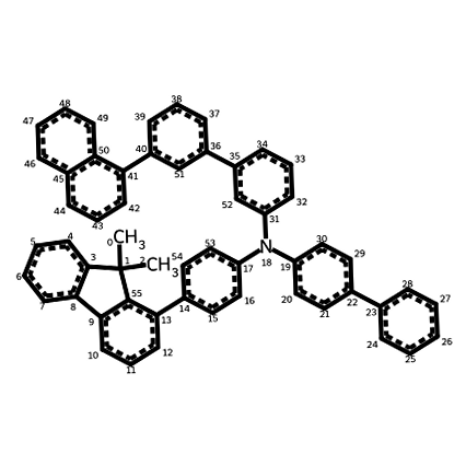 CC1(C)c2ccccc2-c2cccc(-c3ccc(N(c4ccc(-c5ccccc5)cc4)c4cccc(-c5cccc(-c6cccc7ccccc67)c5)c4)cc3)c21